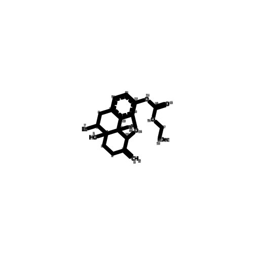 C=C1CCC2(O)C(CC)Cc3ccc(OC(=O)OCCCCCCCCCCC)c4c3C2(CCC)C1O4